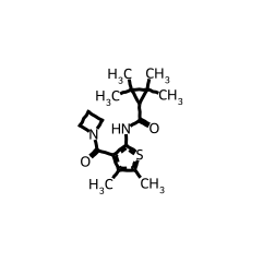 Cc1sc(NC(=O)C2C(C)(C)C2(C)C)c(C(=O)N2CCC2)c1C